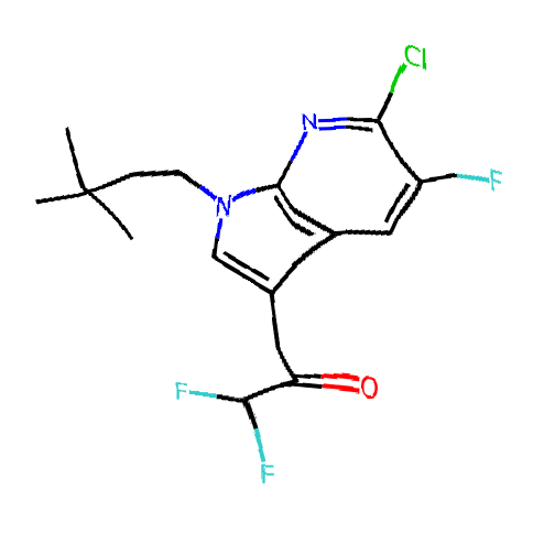 CC(C)(C)Cn1cc(C(=O)C(F)F)c2cc(F)c(Cl)nc21